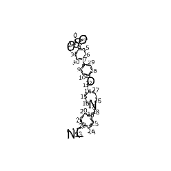 CS(=O)(=O)c1ccc(-c2ccc(OCC3CCN(Cc4ccc(C#N)cc4)CC3)cc2)cc1